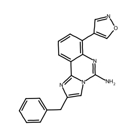 Nc1nc2c(-c3cnoc3)cccc2c2nc(Cc3ccccc3)cn12